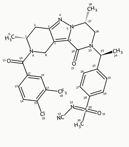 C[C@@H]1Cc2nn3c(c2CN1C(=O)c1ccc(Cl)c(C(F)(F)F)c1)C(=O)N([C@@H](C)c1ccc(S(C)(=O)=NC#N)cc1)C[C@H]3C